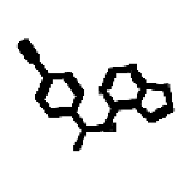 C#Cc1ccc([C@H](C)Nc2ncnc3sccc23)cc1